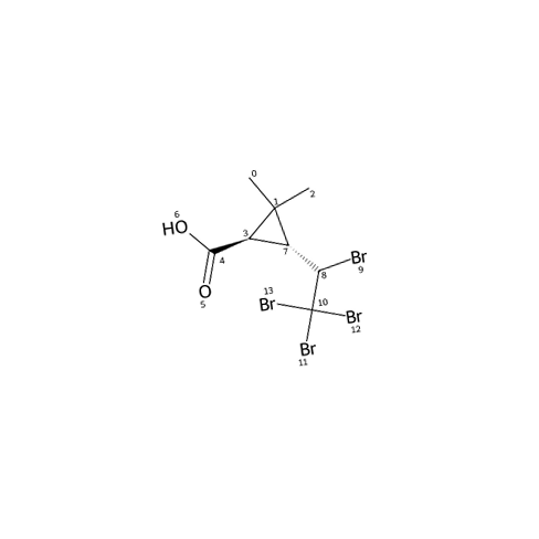 CC1(C)[C@H](C(=O)O)[C@H]1C(Br)C(Br)(Br)Br